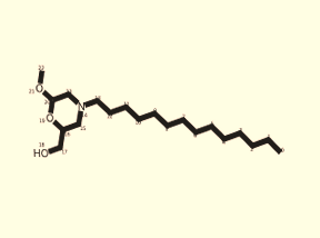 CCCCCCCCCCCCCCN1CC(CO)OC(OC)C1